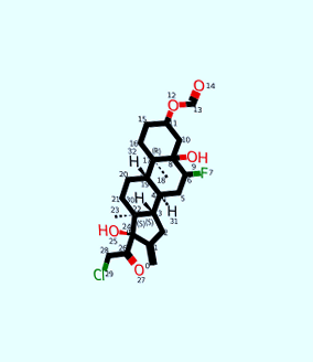 C=C1C[C@H]2[C@@H]3CC(F)C4(O)CC(OC=O)CC[C@]4(C)[C@H]3CC[C@]2(C)[C@@]1(O)C(=O)CCl